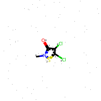 Cn1sc(Cl)c(Cl)c1=O